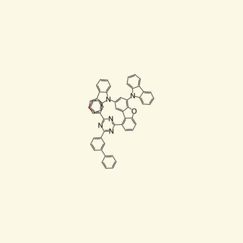 c1ccc(-c2cccc(-c3nc(-c4ccccc4)nc(-c4cccc5oc6c(-n7c8ccccc8c8ccccc87)cc(-n7c8ccccc8c8ccccc87)cc6c45)n3)c2)cc1